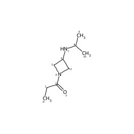 CCC(=O)N1CC(NC(C)C)C1